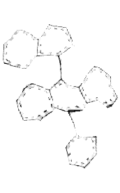 c1ccc(-c2c3ccccc3c(-c3nccc4ccccc34)c3ccccc23)cc1